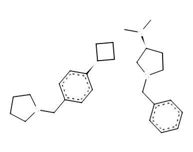 CN(C[C@H]1C[C@H](c2ccc(CN3CCCC3)cc2)C1)[C@H]1CCN(Cc2ccccc2)C1